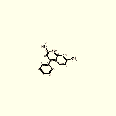 Nc1ccc2c(-c3ccccc3)cc(O)nc2n1